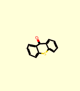 O=c1c2c[c]ccc2sc2ccccc12